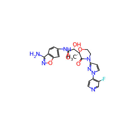 C[C@]1([C@@H](O)C(=O)Nc2ccc3c(N)noc3c2)OCCN(c2ccn(-c3ccncc3F)n2)C1=O